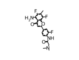 Cc1c(F)c(N)c2c(=O)cc(-c3ccc(NC(=O)CN(C)C)c(F)c3)oc2c1F